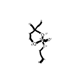 CCCOP1(=O)OCCC(C)(C)O1